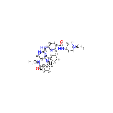 CN1CCC(NC(=O)c2ccc(Nc3ncc4c(n3)N(C3CCCC3)[C@@H]3CCC[C@@H]3C(=O)N4C)nc2)CC1